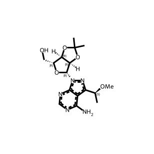 CO[C@@H](C)c1nn([C@@H]2O[C@H](CO)[C@H]3OC(C)(C)O[C@H]32)c2ncnc(N)c12